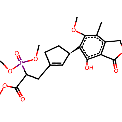 COC(=O)C(CC1=C[C@H](c2c(O)c3c(c(C)c2OC)COC3=O)CC1)P(=O)(OC)OC